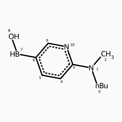 CCCCN(C)c1ccc(BO)cn1